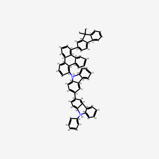 CC1(C)c2ccccc2-c2ccc(-c3cccc4c5cccc(-n6c7ccccc7c7cc(-c8ccc9c(c8)c8ccccc8n9-c8ccccc8)ccc76)c5c5ccccc5c34)cc21